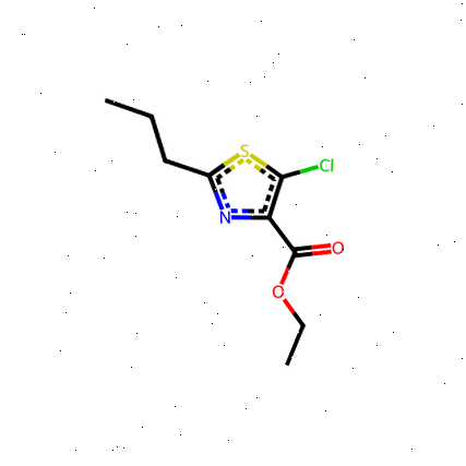 CCCc1nc(C(=O)OCC)c(Cl)s1